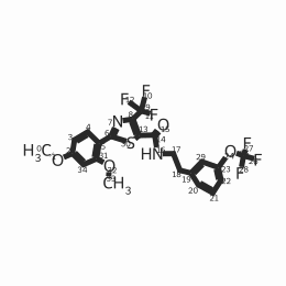 COc1ccc(-c2nc(C(F)(F)F)c(C(=O)NCCc3cccc(OC(F)(F)F)c3)s2)c(OC)c1